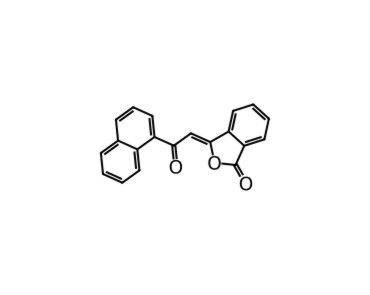 O=C1OC(=CC(=O)c2cccc3ccccc23)c2ccccc21